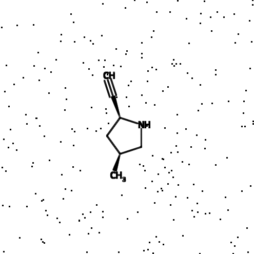 C#C[C@@H]1C[C@H](C)CN1